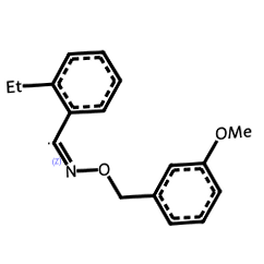 CCc1ccccc1/[C]=N\OCc1cccc(OC)c1